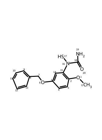 COc1ccc(OCc2ccccc2)cc1N(S)C(N)=O